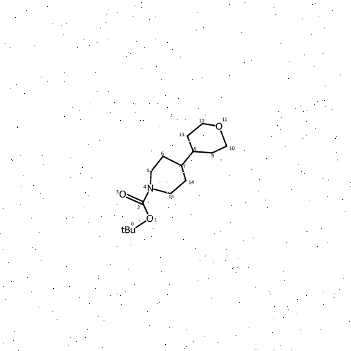 CC(C)(C)OC(=O)N1CCC(C2CCOCC2)CC1